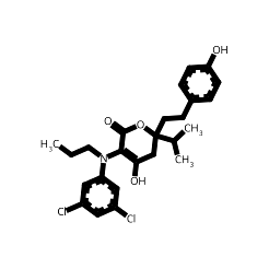 CCCN(C1=C(O)CC(CCc2ccc(O)cc2)(C(C)C)OC1=O)c1cc(Cl)cc(Cl)c1